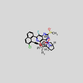 CC(C)[Si](C#Cc1c(Cl)ccc2cccc(-c3nc4c5c(nc([S+](C)[O-])nc5c3F)N3C[C@H]5CC[C@@H]([C@H]3[C@H](C)O4)N5C(=O)OC(C)(C)C)c12)(C(C)C)C(C)C